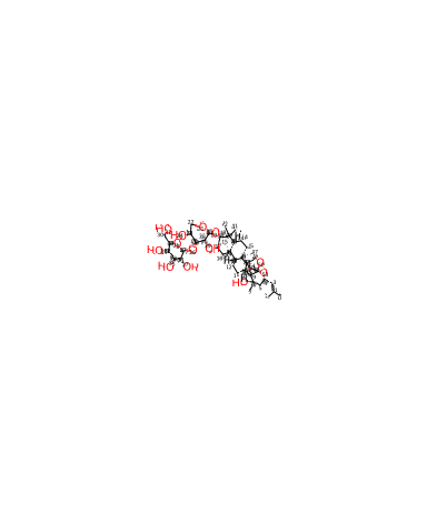 CC(C)=C[C@H]1C[C@](C)(O)[C@@H]2[C@H]3CC[C@@H]4[C@@]5(C)CC[C@H](O[C@@H]6OC[C@H](O)[C@H](O[C@@H]7O[C@H](CO)[C@@H](O)[C@H](O)[C@H]7O)[C@H]6O)C(C)(C)[C@@H]5CC[C@@]4(C)[C@@]34CO[C@@]2(C4)O1